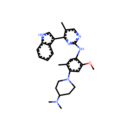 COc1cc(N2CCC(N(C)C)CC2)c(C)cc1Nc1ncc(C)c(-c2c[nH]c3ccccc23)n1